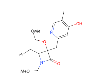 COCOC1(Cc2cc(O)c(C)cn2)C(=O)N(COC)C1CC(C)C